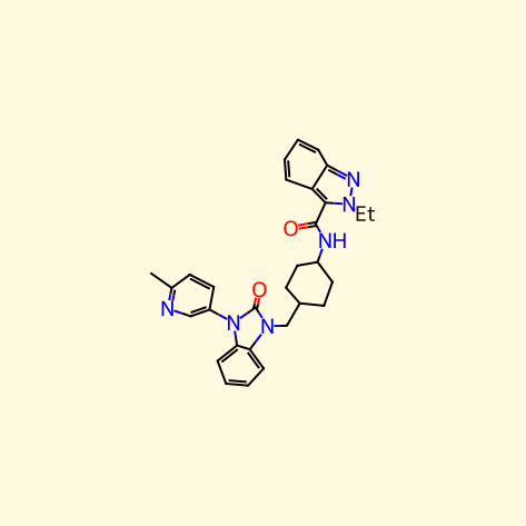 CCn1nc2ccccc2c1C(=O)NC1CCC(Cn2c(=O)n(-c3ccc(C)nc3)c3ccccc32)CC1